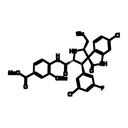 COC(=O)c1ccc(NC(=O)[C@@H]2N[C@@H](CC(C)(C)C)[C@@]3(C(=O)Nc4cc(Cl)ccc43)[C@H]2c2cc(F)cc(Cl)c2)c(OC)c1